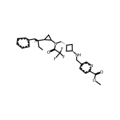 CC/C(=C\c1ccccc1)C1CC1N(C[C@H]1C[C@H](NCc2ccc(C(=O)OC)nc2)C1)C(=O)C(F)(F)F